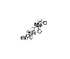 Cc1c(Cl)nn2c(-c3ccccc3)c(C3=CCC(C4(NC(=O)OC(C)(C)C)CCC4)C=C3)nc2c1C